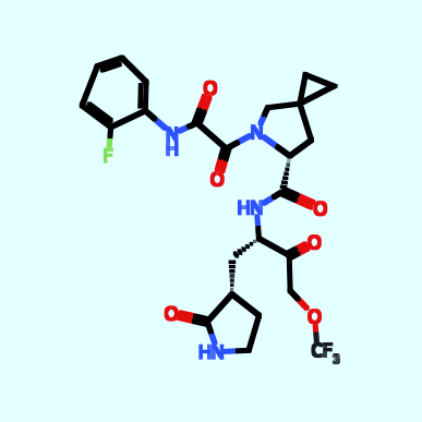 O=C(Nc1ccccc1F)C(=O)N1CC2(CC2)C[C@@H]1C(=O)N[C@@H](C[C@@H]1CCNC1=O)C(=O)COC(F)(F)F